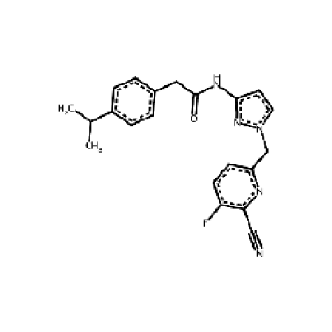 CC(C)c1ccc(CC(=O)Nc2ccn(Cc3ccc(F)c(C#N)n3)n2)cc1